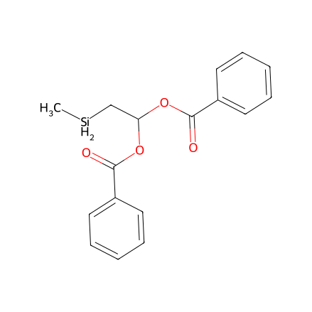 C[SiH2]CC(OC(=O)c1ccccc1)OC(=O)c1ccccc1